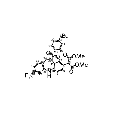 COC(=O)C(C(=O)OC)c1ccc2c(c1)N(S(=O)(=O)c1ccc(C(C)(C)C)cc1)Cc1ccc(C(F)(F)F)nc1N2